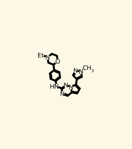 CCN1CCOC(c2ccc(Nc3ncc4ccc(-c5cnn(C)c5)n4n3)cc2)C1